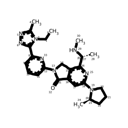 CCn1c(C)nnc1-c1cccc(N2Cc3c(cc(N4CCC[C@H]4C)nc3[C@@H](C)NC)C2=O)n1